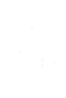 C1CCCCC1.c1ccc(C2CCCCC2)cc1.c1ccccc1